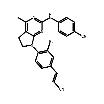 CCc1cc(/C=C/C#N)ccc1N1CCc2c(C)nc(Nc3ccc(C#N)cc3)nc21